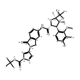 COc1c([C@H]2[C@H](C(=O)Nc3ccc4c(c3)CN(c3cnn(C(=O)OC(C)(C)C)c3)C4=O)O[C@@](C)(C(F)(F)F)[C@H]2C)ccc(F)c1F